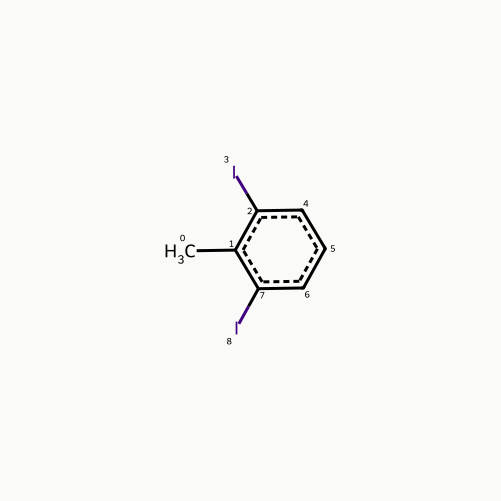 Cc1c(I)cccc1I